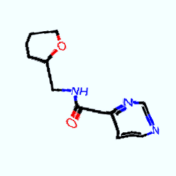 O=C(NCC1CCCO1)c1ccncn1